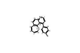 Cc1ccc(-c2ccnc3ccc4c(c23)SC=CC=C4)cc1